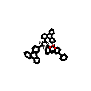 c1ccc(-c2ccc3c(c2)c2ccccc2n3-c2ccc3c4ccccc4c4cccc(-c5nc(-c6ccccc6)nc(-c6ccc7c8ccccc8c8ccccc8c7c6)n5)c4c3c2)cc1